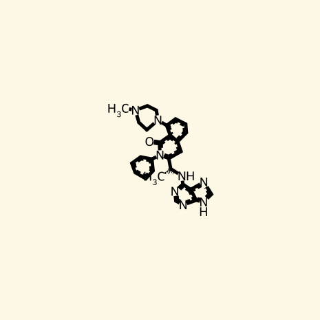 C[C@@H](Nc1ncnc2[nH]cnc12)c1cc2cccc(N3CCN(C)CC3)c2c(=O)n1-c1ccccc1